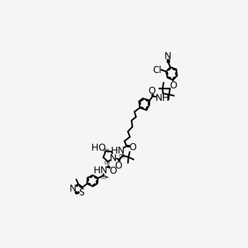 Cc1ncsc1-c1ccc([C@H](C)NC(=O)[C@@H]2C[C@@H](O)CN2C(=O)[C@@H](NC(=O)CCCCCCCc2ccc(C(=O)N[C@H]3C(C)(C)[C@H](Oc4ccc(C#N)c(Cl)c4)C3(C)C)cc2)C(C)(C)C)cc1